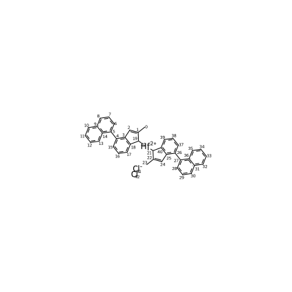 CC1=Cc2c(-c3cccc4ccccc34)cccc2[CH]1[Hf+2][CH]1C(C)=Cc2c(-c3cccc4ccccc34)cccc21.[Cl-].[Cl-]